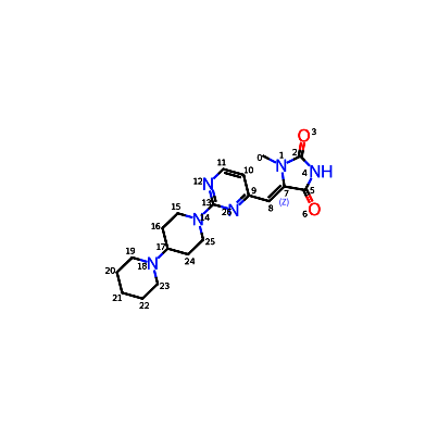 CN1C(=O)NC(=O)/C1=C/c1ccnc(N2CCC(N3CCCCC3)CC2)n1